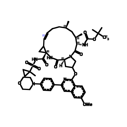 COc1ccc2c(OC3C[C@H]4C(=O)N[C@]5(C(=O)NS(=O)(=O)C6(C)CC6)CC5/C=C\CC[C@@H](C)C[C@@H](C)[C@H](NC(=O)OC(C)(C)C(F)(F)F)C(=O)N4C3)nc(-c3ccc(N4CCOCC4)cc3)cc2c1